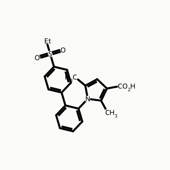 CCS(=O)(=O)c1ccc(-c2ccccc2-n2c(C)cc(C(=O)O)c2C)cc1